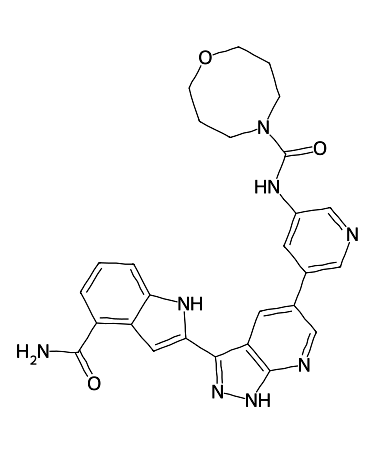 NC(=O)c1cccc2[nH]c(-c3n[nH]c4ncc(-c5cncc(NC(=O)N6CCCOCCC6)c5)cc34)cc12